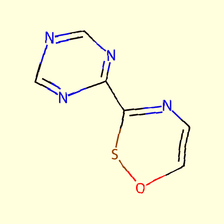 C1=COSC(c2ncncn2)=N1